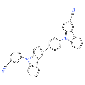 N#Cc1cccc(-n2c3ccccc3c3cc(-c4ccc(-n5c6ccccc6c6cc(C#N)ccc65)cc4)ccc32)c1